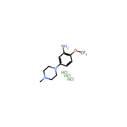 CN1CCN(c2ccc(OC(F)(F)F)c(N)c2)CC1.Cl.Cl.Cl